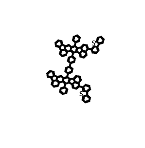 c1ccc(-c2c3cc4c5ccccc5c5cccc(c3c(-c3ccc(-c6ccc(-c7c8cc9c%10ccccc%10c%10cccc(c8c(-c8ccccc8)c8c%11ccc(-c%12cccc%13c%12sc%12ccccc%12%13)c%12cccc(c78)c%12%11)c%109)cc6)cc3)c3c6cccc7c(-c8cccc9c8sc8ccccc89)ccc(c23)c76)c54)cc1